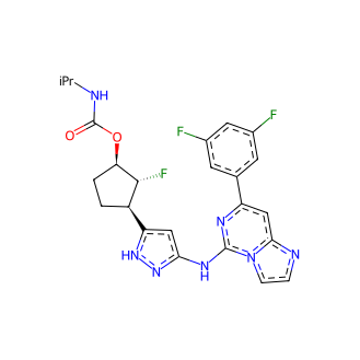 CC(C)NC(=O)O[C@@H]1CC[C@H](c2cc(Nc3nc(-c4cc(F)cc(F)c4)cc4nccn34)n[nH]2)[C@H]1F